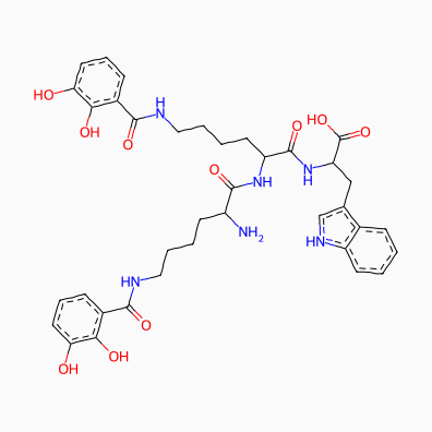 NC(CCCCNC(=O)c1cccc(O)c1O)C(=O)NC(CCCCNC(=O)c1cccc(O)c1O)C(=O)NC(Cc1c[nH]c2ccccc12)C(=O)O